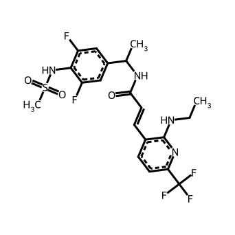 CCNc1nc(C(F)(F)F)ccc1C=CC(=O)NC(C)c1cc(F)c(NS(C)(=O)=O)c(F)c1